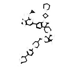 CC(C)n1cnc2cc(-c3ccc4c(c3)N([C@H]3C[C@@H](N5CCCCC5)C3)C(=O)C43CCN(C(=O)C45CN(C(=O)C6CCN(c7ccc(C8CCC(=O)NC8=O)cn7)CC6)CC4C5(F)F)CC3)nc(NC3CC3)c21